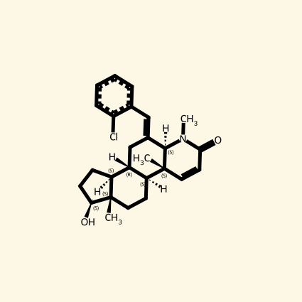 CN1C(=O)C=C[C@]2(C)[C@H]3CC[C@]4(C)[C@@H](O)CC[C@H]4[C@@H]3CC(=Cc3ccccc3Cl)[C@@H]12